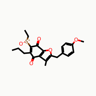 CCCC1=C([S+]([O-])CC)C(=O)c2oc(Cc3ccc(OC)cc3)c(C)c2C1=O